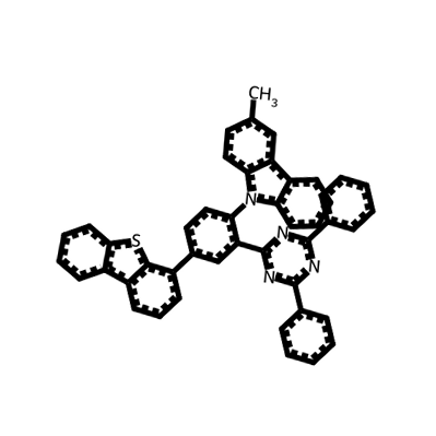 Cc1ccc2c(c1)c1ccccc1n2-c1ccc(-c2cccc3c2sc2ccccc23)cc1-c1nc(-c2ccccc2)nc(-c2ccccc2)n1